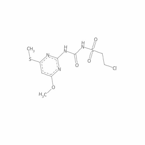 COc1cc(SC)nc(NC(=O)NS(=O)(=O)CCCl)n1